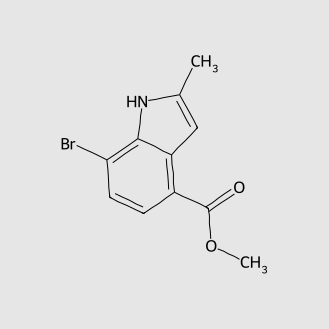 COC(=O)c1ccc(Br)c2[nH]c(C)cc12